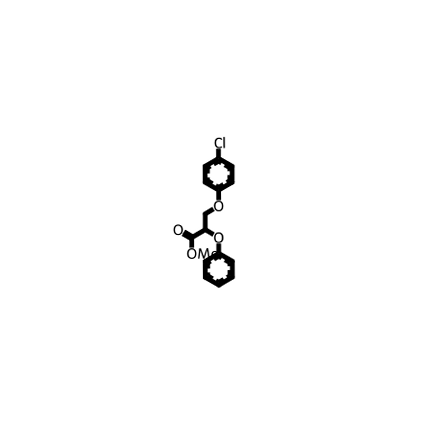 COC(=O)C(COc1ccc(Cl)cc1)Oc1ccccc1